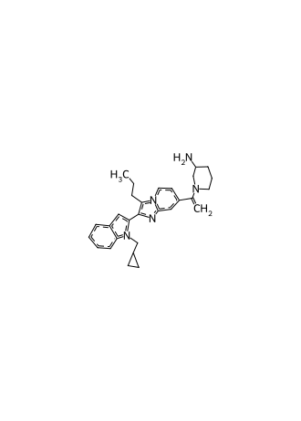 C=C(c1ccn2c(CCC)c(-c3cc4ccccc4n3CC3CC3)nc2c1)N1CCCC(N)C1